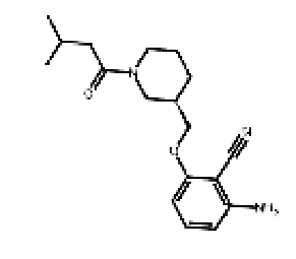 CC(C)CC(=O)N1CCC[C@@H](COc2cccc(N)c2C#N)C1